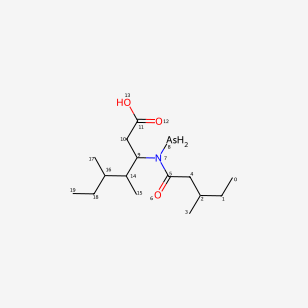 CCC(C)CC(=O)N([AsH2])C(CC(=O)O)C(C)C(C)CC